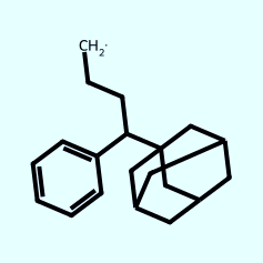 [CH2]CCC(c1ccccc1)C12CC3CC(CC(C3)C1)C2